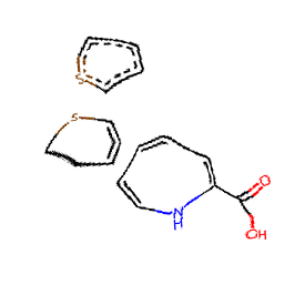 C1=CSCC1.O=C(O)C1=CC=CC=CN1.c1ccsc1